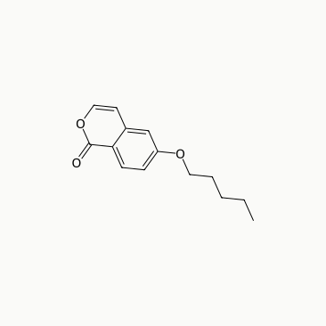 CCCCCOc1ccc2c(=O)occc2c1